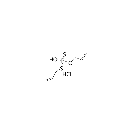 C=CCOP(O)(=S)SCC=C.Cl